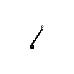 O=C=NCCCCCCCCCCCc1[c]cccc1